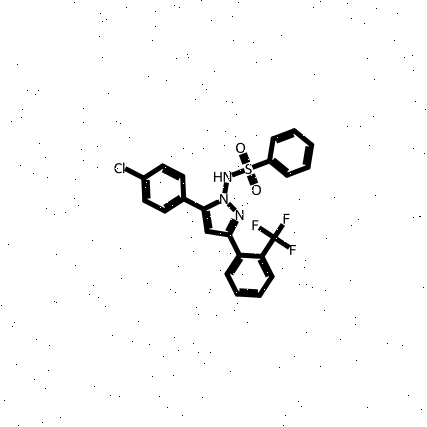 O=S(=O)(Nn1nc(-c2ccccc2C(F)(F)F)cc1-c1ccc(Cl)cc1)c1ccccc1